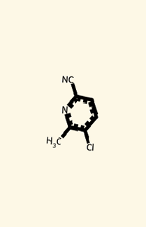 Cc1nc(C#N)ccc1Cl